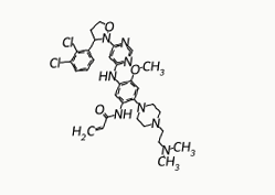 C=CC(=O)Nc1cc(Nc2cc(N3OCCC3c3cccc(Cl)c3Cl)ncn2)c(OC)cc1N1CCN(CCN(C)C)CC1